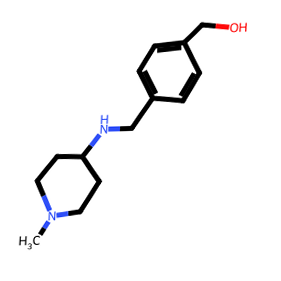 CN1CCC(NCc2ccc(CO)cc2)CC1